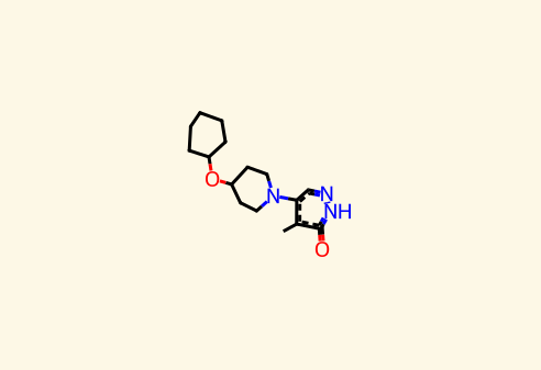 Cc1c(N2CCC(OC3CCCCC3)CC2)cn[nH]c1=O